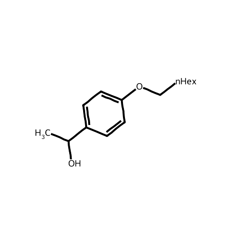 CCCCCCCOc1ccc(C(C)O)cc1